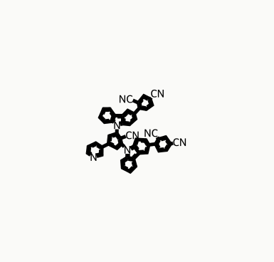 N#Cc1ccc(-c2ccc3c(c2)c2ccccc2n3-c2cc(-c3cccnc3)cc(-n3c4ccccc4c4cc(-c5ccc(C#N)cc5C#N)ccc43)c2C#N)c(C#N)c1